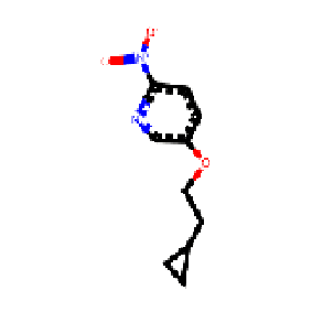 O=[N+]([O-])c1ccc(OCCC2CC2)cn1